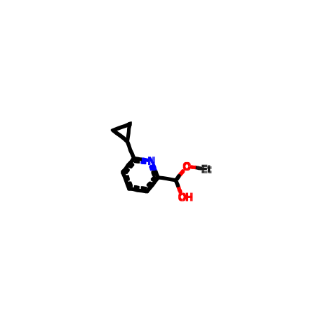 CCOC(O)c1cccc(C2CC2)n1